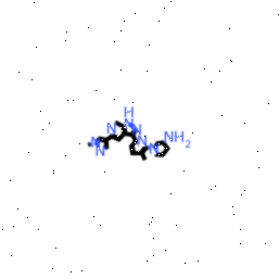 Cc1ccc(-c2n[nH]c3cnc(-c4cnn(C)c4)cc23)nc1N1CCCC(N)C1